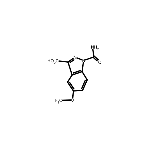 NC(=O)n1nc(C(=O)O)c2cc(OC(F)(F)F)ccc21